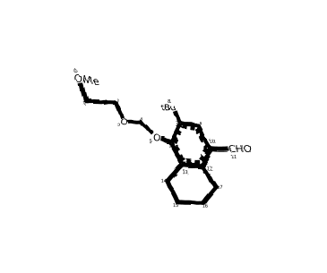 COCCOCOc1c(C(C)(C)C)cc(C=O)c2c1CCCC2